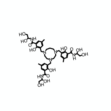 Cc1cc(CN2CCCN(Cc3cc(C)cc(C(=O)NC(O)CO)c3O)CCN(Cc3cc(C)cc(C(=O)NC(O)CO)c3O)CC2)c(O)c(C(=O)NC(O)CO)c1